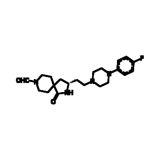 O=CN1CCC2(CC1)C[C@H](CCN1CCN(c3ccc(F)cc3)CC1)NC2=O